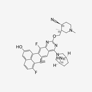 C#Cc1c(F)ccc2cc(O)cc(-c3c(F)cc4c(N5C[C@H]6CC[C@@H](C5)N6)nc(OC[C@]5(C)CN(C)CC[C@@H]5C#N)nc4c3F)c12